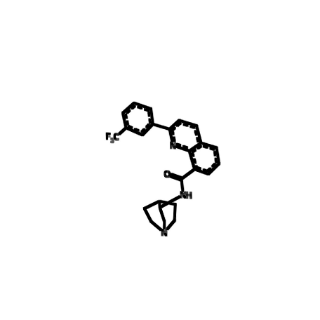 O=C(NC1CN2CCC1CC2)c1cccc2ccc(-c3cccc(C(F)(F)F)c3)nc12